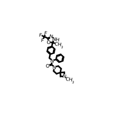 CN1CC2(CCN(C(=O)N(Cc3ccc(C4(C)NN=C(C(F)(F)F)O4)cc3)c3ccccc3)CC2)C1